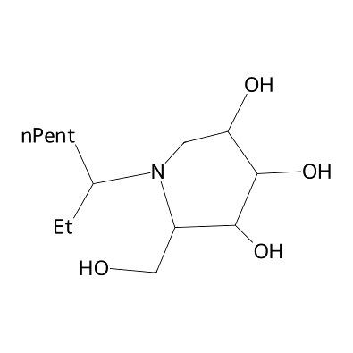 CCCCCC(CC)N1CC(O)C(O)C(O)C1CO